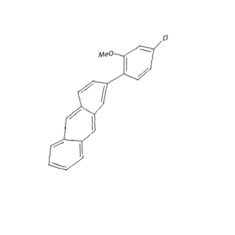 COc1cc(Cl)ccc1-c1ccc2cc3ccccc3cc2c1